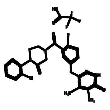 Cc1c(Cc2ccc(F)c(C(=O)N3CCN(c4ccccc4Cl)C(=O)C3)c2)n[nH]c(=O)c1C.O=C(O)C(F)(F)F